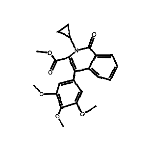 COC(=O)c1c(-c2cc(OC)c(OC)c(OC)c2)c2ccccc2c(=O)n1C1CC1